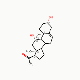 CC(=O)[C@@H]1CCC2C3CC=C4C[C@@H](O)CC[C@]4(C)C3[C@@H](O)C[C@@]21C